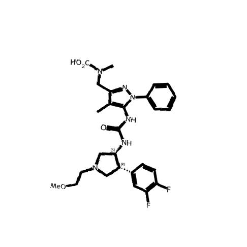 COCCN1C[C@@H](NC(=O)Nc2c(C)c(CN(C)C(=O)O)nn2-c2ccccc2)[C@H](c2ccc(F)c(F)c2)C1